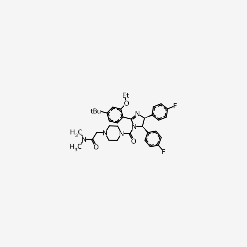 CCOc1cc(C(C)(C)C)ccc1C1=N[C@@H](c2ccc(F)cc2)[C@@H](c2ccc(F)cc2)N1C(=O)N1CCN(CC(=O)N(C)C)CC1